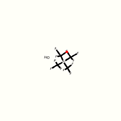 FC(F)(F)[P+](C(F)(F)F)(C(F)(F)F)C(F)(F)F.[OH-]